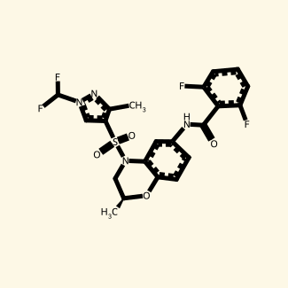 Cc1nn(C(F)F)cc1S(=O)(=O)N1C[C@H](C)Oc2ccc(NC(=O)c3c(F)cccc3F)cc21